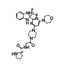 O=C(NCC(=O)N1CCN(c2cc(N3CCOCC3)nc(C3(C(F)F)Nc4ccccc4N3)n2)CC1)[C@@H]1CCCN1